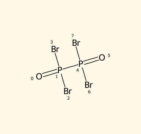 O=P(Br)(Br)P(=O)(Br)Br